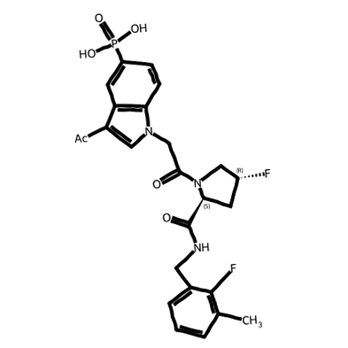 CC(=O)c1cn(CC(=O)N2C[C@H](F)C[C@H]2C(=O)NCc2cccc(C)c2F)c2ccc(P(=O)(O)O)cc12